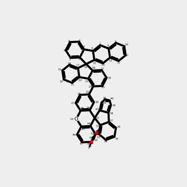 c1ccc2c(c1)-c1cc3ccccc3cc1C21c2ccccc2-c2c(-c3ccc4c(c3)C3(c5ccccc5-c5ccccc53)c3c(ccc5ccccc35)O4)cccc21